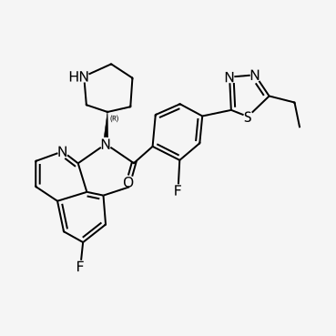 CCc1nnc(-c2ccc(C(=O)N(c3nccc4cc(F)cc(C)c34)[C@@H]3CCCNC3)c(F)c2)s1